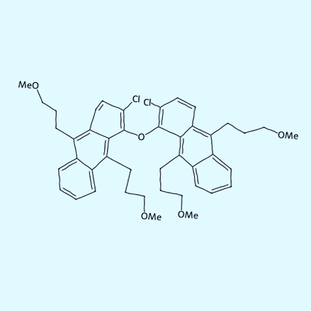 COCCCc1c2ccccc2c(CCCOC)c2c(Oc3c(Cl)ccc4c(CCCOC)c5ccccc5c(CCCOC)c34)c(Cl)ccc12